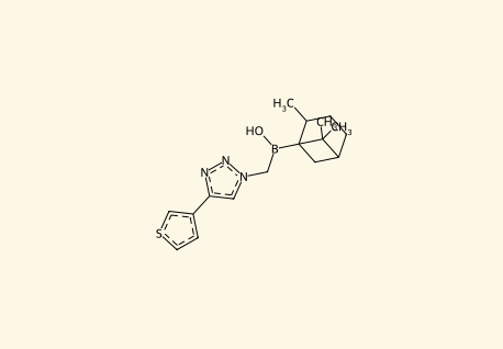 CC1CCC2CC1(B(O)Cn1cc(-c3ccsc3)nn1)C2(C)C